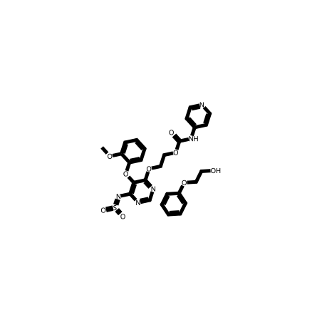 COc1ccccc1Oc1c(N=S(=O)=O)ncnc1OCCOC(=O)Nc1ccncc1.OCCOc1ccccc1